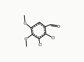 COc1cc(C=O)c(Cl)c(Cl)c1OC